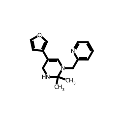 CC1(C)NCC(c2ccoc2)=CN1Cc1ccccn1